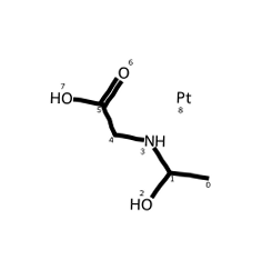 CC(O)NCC(=O)O.[Pt]